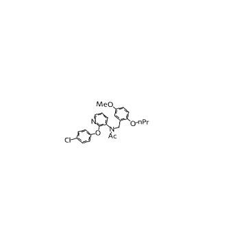 [CH2]CCOc1ccc(OC)cc1CN(C(C)=O)c1cccnc1Oc1ccc(Cl)cc1